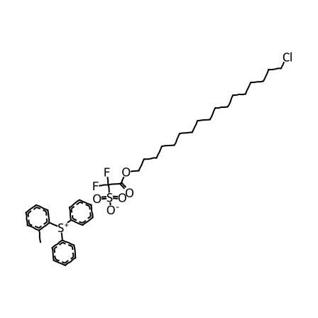 Cc1ccccc1[S+](c1ccccc1)c1ccccc1.O=C(OCCCCCCCCCCCCCCCCCCl)C(F)(F)S(=O)(=O)[O-]